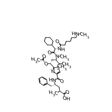 CNCCCCCC(=O)N[C@H](C(=O)N(C)[C@H](C[C@@H](OC(C)=O)c1nc(C(=O)N[C@@H](Cc2ccccc2)C[C@H](C)C(=O)O)cs1)C(C)C)C1CCCCC1